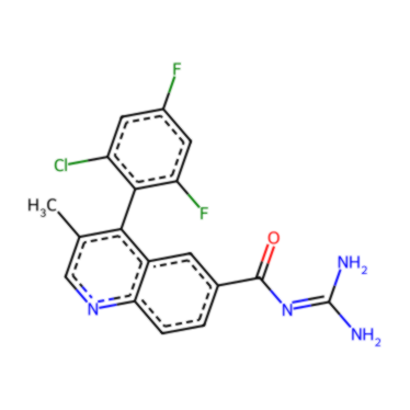 Cc1cnc2ccc(C(=O)N=C(N)N)cc2c1-c1c(F)cc(F)cc1Cl